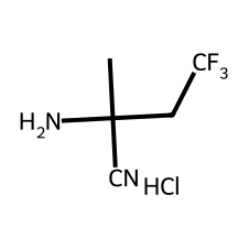 CC(N)(C#N)CC(F)(F)F.Cl